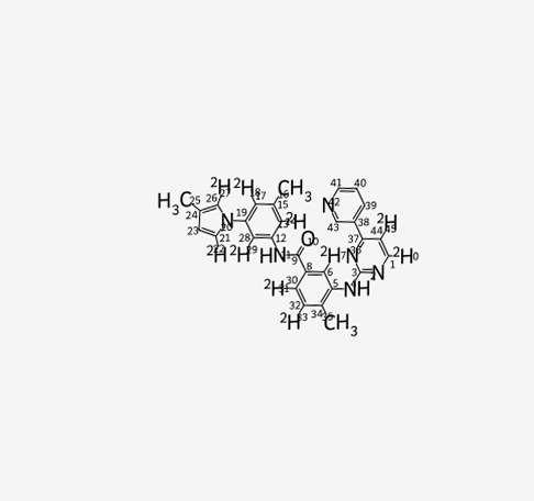 [2H]c1nc(Nc2c([2H])c(C(=O)Nc3c([2H])c(C)c([2H])c(-n4c([2H])cc(C)c4[2H])c3[2H])c([2H])c([2H])c2C)nc(-c2cccnc2)c1[2H]